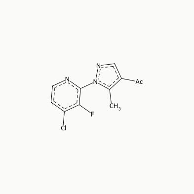 CC(=O)c1cnn(-c2nccc(Cl)c2F)c1C